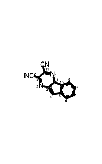 N#CC1=NC2=Cc3ccccc3C2N=C1C#N